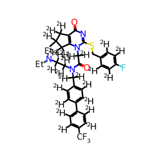 [2H]c1c([2H])c(CSc2nc(=O)c3c(n2C([2H])([2H])C(=O)N(C([2H])([2H])c2c([2H])c([2H])c(-c4c([2H])c([2H])c(C(F)(F)F)c([2H])c4[2H])c([2H])c2[2H])C([2H])([2H])C([2H])([2H])N(CC)CC)C([2H])([2H])C([2H])(C)C3([2H])[2H])c([2H])c([2H])c1F